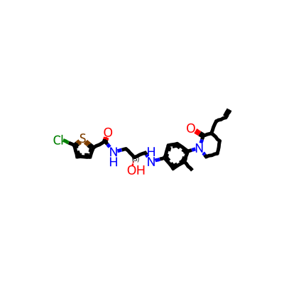 C=CCC1CCCN(c2ccc(NC[C@H](O)CNC(=O)c3ccc(Cl)s3)cc2C)C1=O